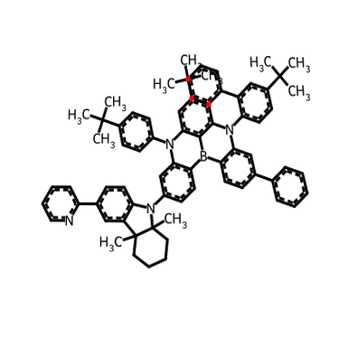 CC(C)(C)c1ccc(N2c3cc(N4c5ccc(-c6ccccn6)cc5C5(C)CCCCC45C)ccc3B3c4ccc(-c5ccccc5)cc4N(c4ccc(C(C)(C)C)cc4-c4ccccc4)c4cc(C(C)(C)C)cc2c43)cc1